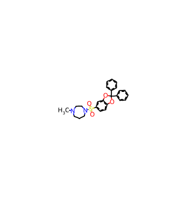 CN1CCCN(S(=O)(=O)c2ccc3c(c2)OC(c2ccccc2)(c2ccccc2)O3)CC1